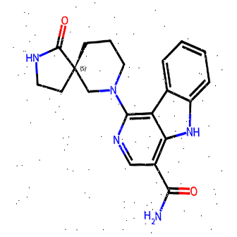 NC(=O)c1cnc(N2CCC[C@]3(CCNC3=O)C2)c2c1[nH]c1ccccc12